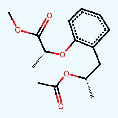 COC(=O)[C@@H](C)Oc1ccccc1C[C@H](C)OC(C)=O